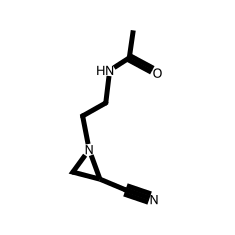 CC(=O)NCCN1CC1C#N